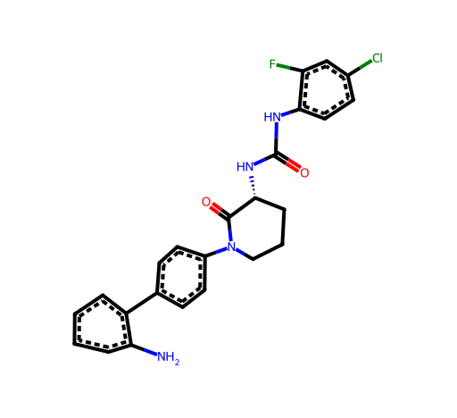 Nc1ccccc1-c1ccc(N2CCC[C@@H](NC(=O)Nc3ccc(Cl)cc3F)C2=O)cc1